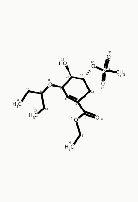 CCOC(=O)C1=C[C@@H](OC(CC)CC)[C@@H](O)[C@H](OS(C)(=O)=O)C1